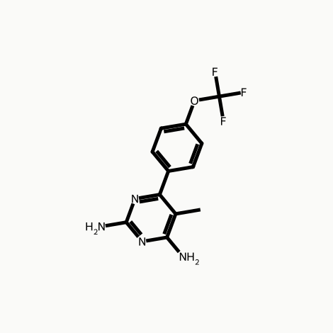 Cc1c(N)nc(N)nc1-c1ccc(OC(F)(F)F)cc1